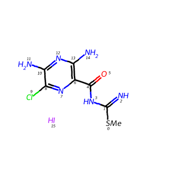 CSC(=N)NC(=O)c1nc(Cl)c(N)nc1N.I